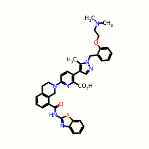 Cc1c(-c2ccc(N3CCc4cccc(C(=O)Nc5nc6ccccc6s5)c4C3)nc2C(=O)O)cnn1Cc1ccccc1OCCN(C)C